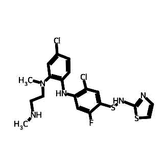 CNCCN(C)c1cc(Cl)ccc1Nc1cc(F)c(SNc2nccs2)cc1Cl